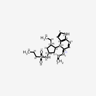 C=N/N=c1/cnc2[nH]ccc2n1C1C[C@@H](NS(=O)(=O)CCC)C[C@H]1CC